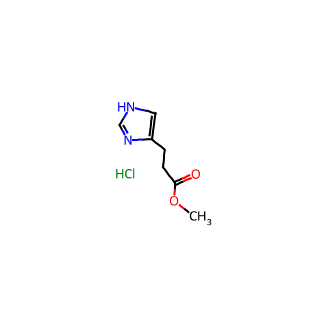 COC(=O)CCc1c[nH]cn1.Cl